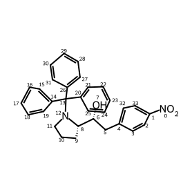 O=[N+]([O-])c1ccc(C[C@@H](O)[C@@H]2CCCN2C(c2ccccc2)(c2ccccc2)c2ccccc2)cc1